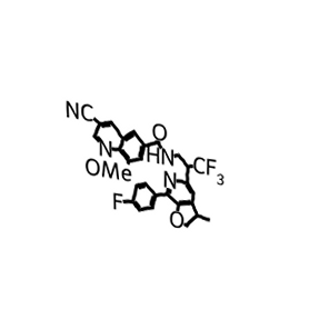 COc1cc(C(=O)NCC(c2cc3c(c(-c4ccc(F)cc4)n2)OCC3C)C(F)(F)F)cc2cc(C#N)cnc12